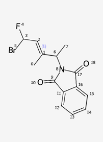 C/C(=C\C(F)Br)C(C)N1C(=O)c2ccccc2C1=O